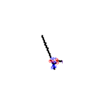 CCCCCCCCCCCCCCCCCCNC(=O)OCC(CNS(=O)(=O)CCCI)n1cnc(C)n1